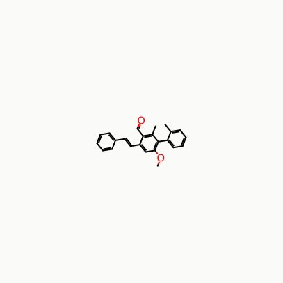 COc1cc(/C=C/c2ccccc2)c(C=O)c(C)c1-c1ccccc1C